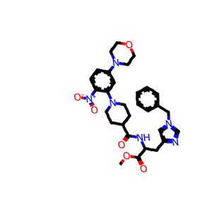 COC(=O)C(Cc1cn(Cc2ccccc2)cn1)NC(=O)C1CCN(c2cc(N3CCOCC3)ccc2[N+](=O)[O-])CC1